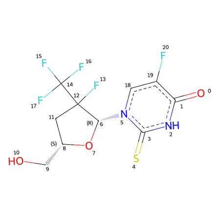 O=c1[nH]c(=S)n([C@@H]2O[C@H](CO)CC2(F)C(F)(F)F)cc1F